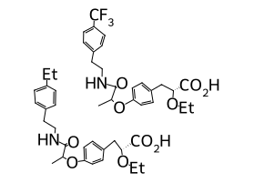 CCO[C@H](Cc1ccc(OC(C)C(=O)NCCc2ccc(C(F)(F)F)cc2)cc1)C(=O)O.CCO[C@H](Cc1ccc(OC(C)C(=O)NCCc2ccc(CC)cc2)cc1)C(=O)O